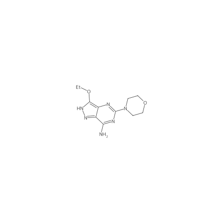 CCOc1[nH]nc2c(N)nc(N3CCOCC3)nc12